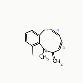 C=C1/C=C\C=C/Cc2cccc(I)c2N1C